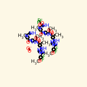 CCc1cc(Nc2nccn3c(-c4ccc(OC)c(F)c4F)cnc23)ccc1C(=O)NC(C(=O)OC)C1CCN(C(=O)C2CC[N+](C)(CC3CNC3)CC2)CC1.CCc1cc(Nc2nccn3c(-c4ccc(OC)c(F)c4F)cnc23)ccc1C(=O)NC(C(=O)OC)C1CCN(C(=O)C2CC[N+](C)(CC3CNC3)CC2)CC1.O=C([O-])C(F)(F)F.O=C[O-]